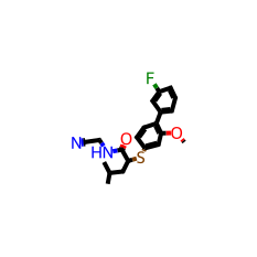 COc1cc(SC(CC(C)C)C(=O)NCC#N)ccc1-c1cccc(F)c1